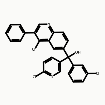 OC(c1ccc(Cl)nc1)(c1cccc(Cl)c1)c1ccc2ncc(-c3ccccc3)c(Cl)c2c1